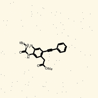 COC(=O)Cc1cc(NC(=O)OC(C)(C)C)c([N+](=O)[O-])cc1C#Cc1ccccc1